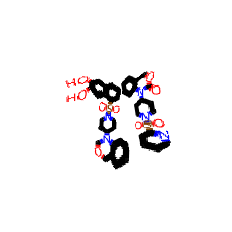 O=C1OCc2ccccc2N1C1CCN(S(=O)(=O)c2ccccn2)CC1.O=S(=O)(c1cccc2cc(O)c(O)cc12)N1CCC(N2COCc3ccccc32)CC1